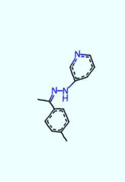 CC(=NNc1cccnc1)c1ccc(C)cc1